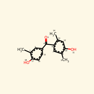 Cc1cc(C(=O)c2cc(C)c(O)cc2C)ccc1O